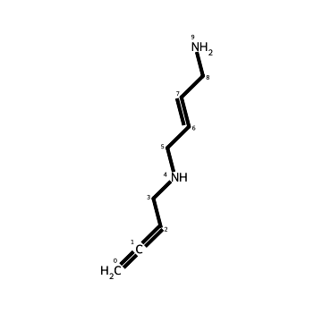 C=C=CCNCC=CCN